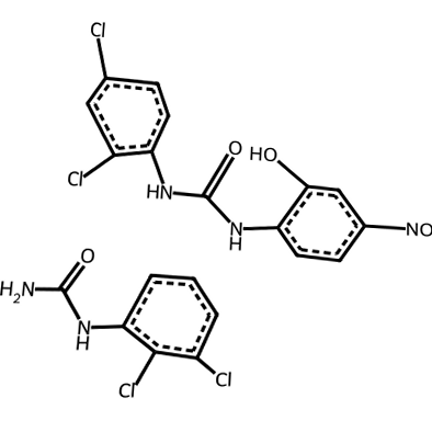 NC(=O)Nc1cccc(Cl)c1Cl.O=C(Nc1ccc([N+](=O)[O-])cc1O)Nc1ccc(Cl)cc1Cl